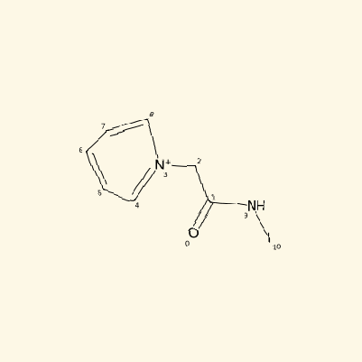 O=C(C[n+]1ccccc1)NI